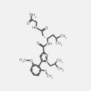 COc1cccc(OC)c1-c1cc(C(=O)N[C@H](CC(=O)NCC(N)=O)CC(C)C)nn1CC(C)C